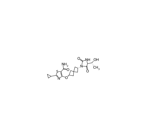 C[C@@H](O)C1NC(=O)N([C@H]2CC3(C[C@H](Oc4nc(C5CC5)sc4C(N)=O)C3)C2)C1=O